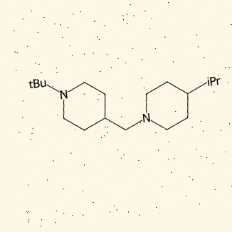 CC(C)C1CCN(CC2CCN(C(C)(C)C)CC2)CC1